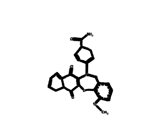 COc1cccc2c1OC1=C(C(=O)C3=CC=CCC3C1=O)N(C1=CCC(C(N)=O)C=C1)C2